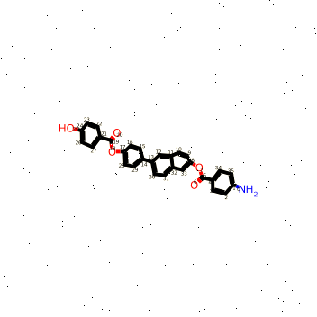 Nc1ccc(C(=O)Oc2ccc3cc(-c4ccc(OC(=O)c5ccc(O)cc5)cc4)ccc3c2)cc1